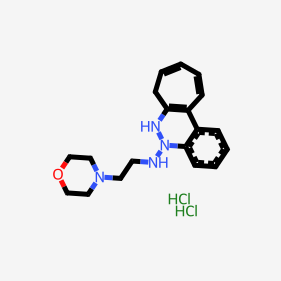 C1=CCC2=C(C=C1)c1ccccc1N(NCCN1CCOCC1)N2.Cl.Cl